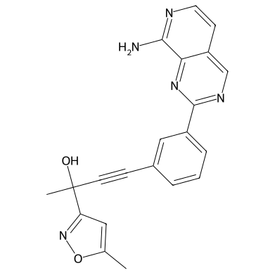 Cc1cc(C(C)(O)C#Cc2cccc(-c3ncc4ccnc(N)c4n3)c2)no1